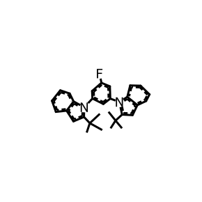 CC(C)(C)c1cc2ccccc2n1-c1cc(F)cc(-n2c(C(C)(C)C)cc3ccccc32)c1